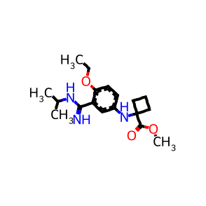 CCOc1ccc(NC2(C(=O)OC)CCC2)cc1C(=N)NC(C)C